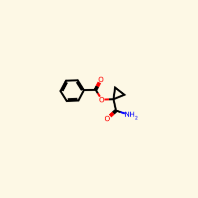 NC(=O)C1(OC(=O)c2ccccc2)CC1